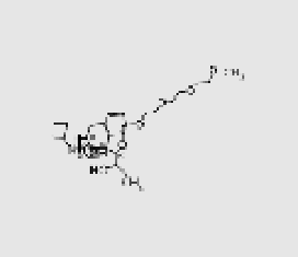 CCC(O)[C@@H]1Oc2c(OCCOCCOCCOC)ccc3c2[C@@]12CCN(CC1CCC1)[C@H](C3)[C@@]2(C)O